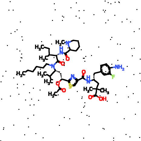 CCCCCCN(C(=O)[C@@H](NC(=O)C1CCCCN1C)[C@@H](C)CC)[C@H](C[C@@H](OC(C)=O)c1nc(C(=O)N[C@H](Cc2ccc(N)c(F)c2)CC(C)(C)C(=O)O)cs1)C(C)C